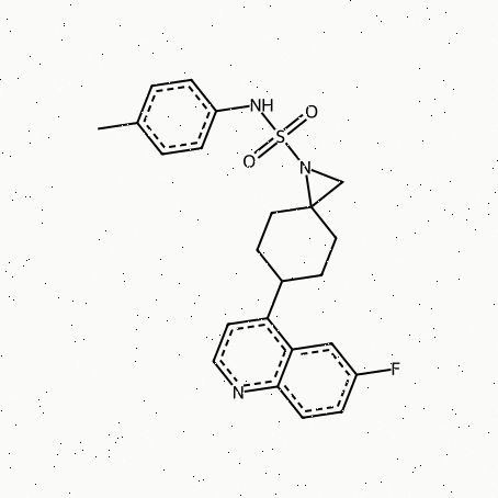 Cc1ccc(NS(=O)(=O)N2CC23CCC(c2ccnc4ccc(F)cc24)CC3)cc1